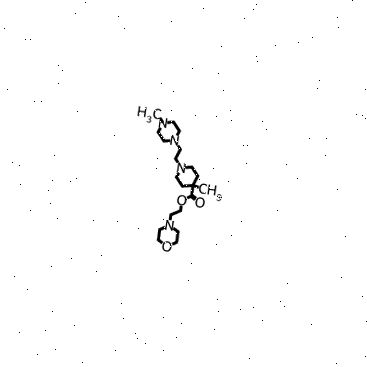 CN1CCN(CCN2CCC(C)(C(=O)OCCN3CCOCC3)CC2)CC1